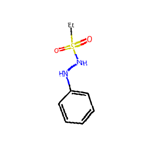 CCS(=O)(=O)NNc1ccccc1